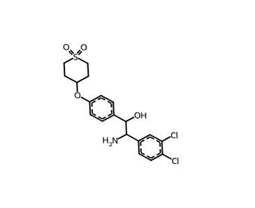 NC(c1ccc(Cl)c(Cl)c1)C(O)c1ccc(OC2CCS(=O)(=O)CC2)cc1